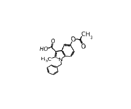 CC(=O)Oc1ccc2c(c1)c(C(=O)O)c(C)n2Cc1ccccc1